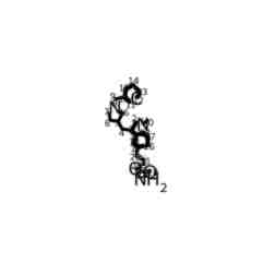 Cn1cc(CC2CCN(Cc3ccccc3)C2)c2cc(/C=C/S(N)(=O)=O)ccc21